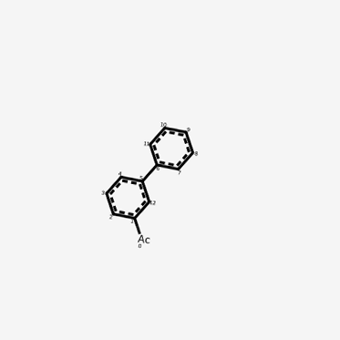 CC(=O)c1cccc(-c2ccccc2)c1